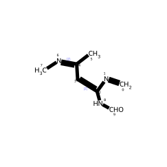 C=N/C(=C\C(C)=N/C)NC=O